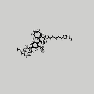 CCCCCCOC(=O)C1=CC=CCC=C1C(=O)c1ccc(N(CC)CC)cc1N=O